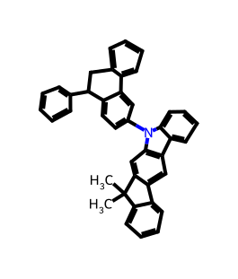 CC1(C)c2ccccc2-c2cc3c4ccccc4n(-c4ccc5c(c4)-c4ccccc4CC5c4ccccc4)c3cc21